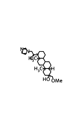 COC[C@@]1(O)CC[C@]2(C)C3CC[C@@]4(C)C(CCC[C@@H]4C(=O)Cn4ccnc4)C3CC[C@H]2C1